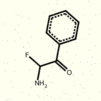 NC(F)C(=O)c1ccccc1